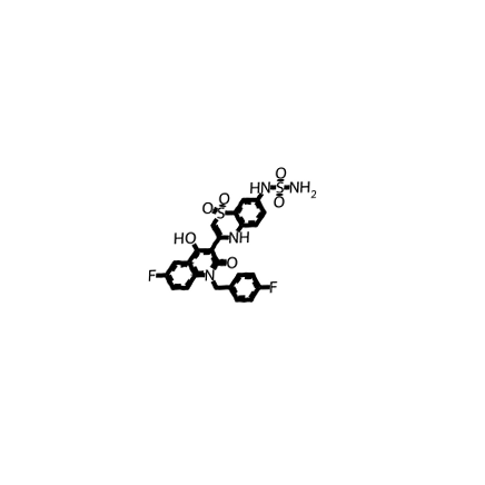 NS(=O)(=O)Nc1ccc2c(c1)S(=O)(=O)C=C(c1c(O)c3cc(F)ccc3n(Cc3ccc(F)cc3)c1=O)N2